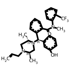 C=CCN1C[C@H](C)N([C@H](c2cccc(O)c2)c2ccccc2C(=O)N(C)c2ccccc2C(F)(F)F)C[C@H]1C